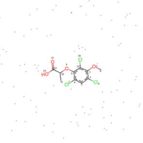 COc1c(Cl)cc(Cl)c(OC(C)C(=O)O)c1Cl